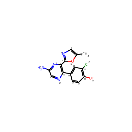 Cc1cnc(-c2nc(N)cnc2-c2ccc(O)c(Cl)c2)o1